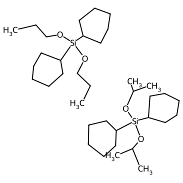 CC(C)O[Si](OC(C)C)(C1CCCCC1)C1CCCCC1.CCCO[Si](OCCC)(C1CCCCC1)C1CCCCC1